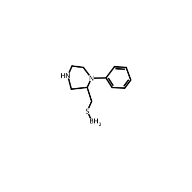 BSCC1CNCCN1c1ccccc1